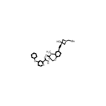 CN1C(=O)[C@@H](NC(=O)c2cc(Oc3ccccc3)ccn2)COc2ccc(C#CC3(O)CN(CC(C)(C)C)C3)cc21